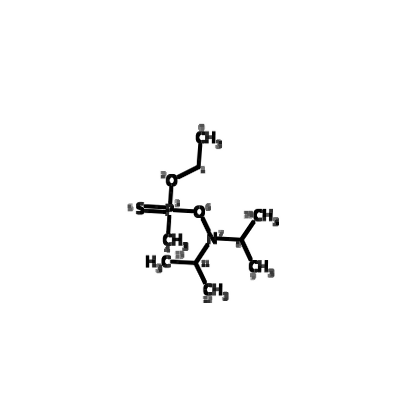 CCOP(C)(=S)ON(C(C)C)C(C)C